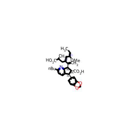 C=C(/C(=C\C(=C/C)OC)CC(C)C(=O)O)[C@@H]1c2nc(CCCC)ccc2[C@H](c2ccc3c(c2)OCO3)[C@H]1C(=O)O